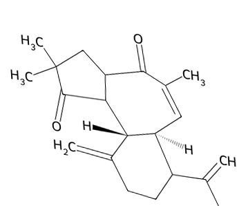 C=C(C)C1CCC(=C)[C@@H]2C3C(=O)C(C)(C)CC3C(=O)C(C)=C[C@@H]12